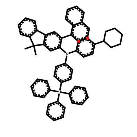 CC1(C)c2ccccc2-c2cc(-c3cccc4ccccc34)c(N(c3ccc(C4CCCCC4)cc3)c3ccc([Si](c4ccccc4)(c4ccccc4)c4ccccc4)cc3)cc21